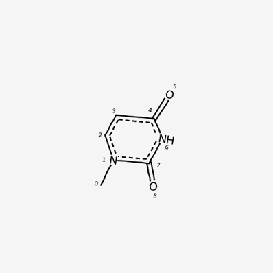 Cn1ccc(=O)[nH]c1=O